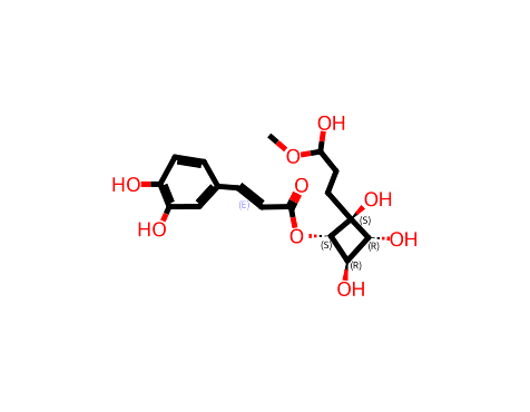 COC(O)CC[C@]1(O)[C@H](O)[C@@H](O)[C@@H]1OC(=O)/C=C/c1ccc(O)c(O)c1